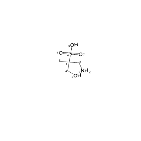 CC(CN)(CO)S(=O)(=O)O